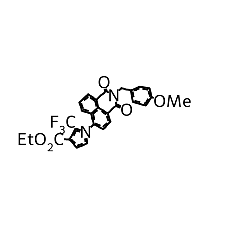 CCOC(=O)c1ccn(-c2ccc3c4c(cccc24)C(=O)N(Cc2ccc(OC)cc2)C3=O)c1C(F)(F)F